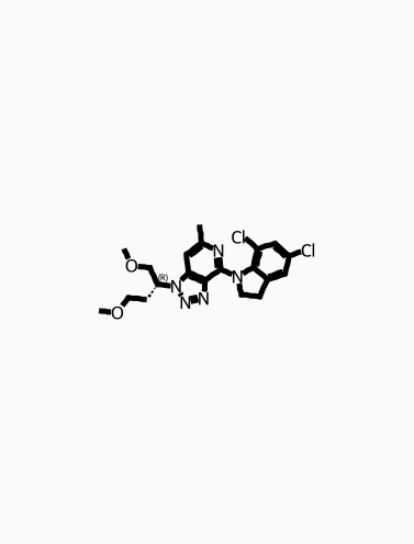 COCC[C@H](COC)n1nnc2c(N3CCc4cc(Cl)cc(Cl)c43)nc(C)cc21